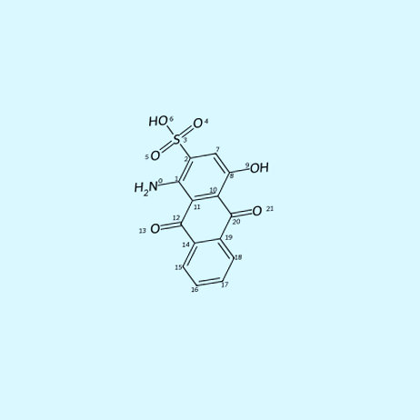 Nc1c(S(=O)(=O)O)cc(O)c2c1C(=O)c1ccccc1C2=O